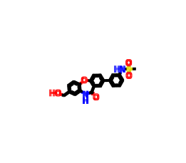 CS(=O)(=O)Nc1cccc(-c2ccc3c(c2)C(=O)Nc2cc(CO)ccc2O3)c1